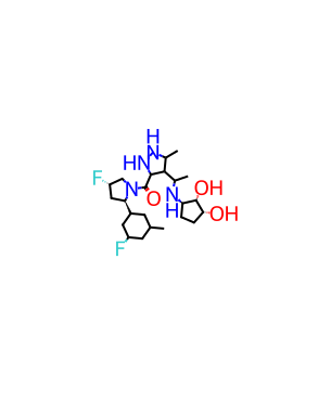 CC1CC(F)CC([C@H]2C[C@H](F)CN2C(=O)C2NNC(C)C2C(C)N[C@@H]2CC[C@@H](O)[C@H]2O)C1